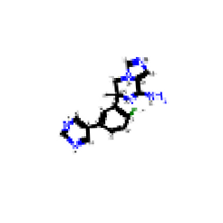 C[C@@]1(c2cc(-c3cncnc3)ccc2F)Cn2cncc2C(N)=N1